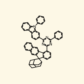 c1ccc(-c2nc(-c3ccc4c5ccccc5n(-c5ccccc5)c4c3)nc(-c3cccc4c3-c3cc5ccccc5cc3C43C4CC5CC(C4)CC3C5)n2)cc1